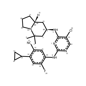 CC1(C)C[C@H](Nc2nc(Nc3cc(C#N)c(C4CC4)cc3F)ncc2Cl)C[C@H]2CCCN21